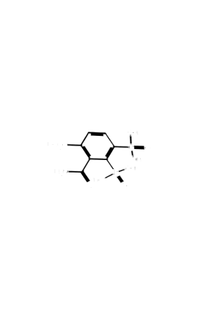 NC(=O)c1c(C(=O)O)ccc(P(=O)(O)O)c1P(=O)(O)O